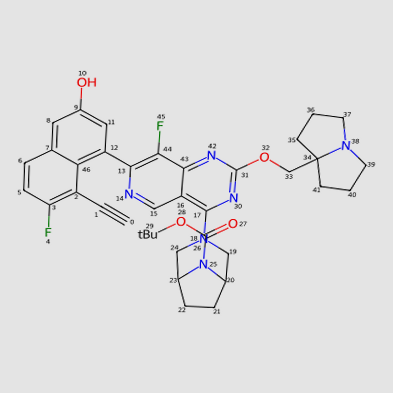 C#Cc1c(F)ccc2cc(O)cc(-c3ncc4c(N5CC6CCC(C5)N6C(=O)OC(C)(C)C)nc(OCC56CCCN5CCC6)nc4c3F)c12